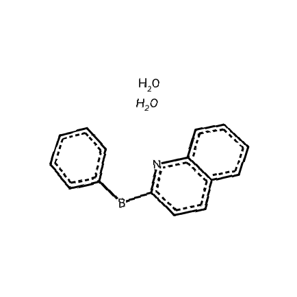 O.O.[B](c1ccccc1)c1ccc2ccccc2n1